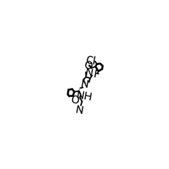 N#CCC(=O)N[C@@H](CCN1CC2CN(C(=O)c3c(F)cccc3Cl)CC2C1)c1ccccc1